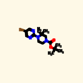 CC(C)(C)OC(=O)N1CCN(c2ncc(Br)cn2)C(C)(C)C1